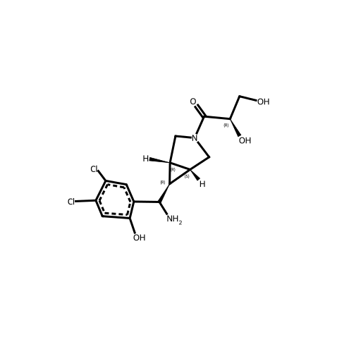 NC(c1cc(Cl)c(Cl)cc1O)[C@H]1[C@@H]2CN(C(=O)[C@H](O)CO)C[C@@H]21